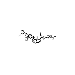 CC#C/C(=N\OCC(=O)O)c1ccc2ncnc(Nc3ccc(OCc4cccc(F)c4)c(Cl)c3)c2c1